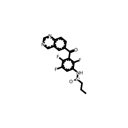 CCC[S+]([O-])Nc1cc(F)c(F)c(C(=O)c2ccc3ncncc3c2)c1F